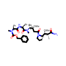 CC[C@H](C)[C@@H]([C@@H](CC(=O)N1CCC[C@H]1[C@H](OC)[C@@H](C)C(N)=O)OC)N(C)C(=O)[C@@H](NC(=O)[C@H](C(C)C)N(C)C(=O)OCc1ccccc1)C(C)C